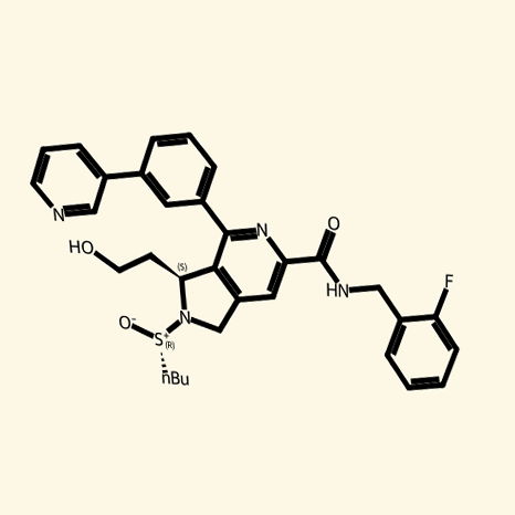 CCCC[S@+]([O-])N1Cc2cc(C(=O)NCc3ccccc3F)nc(-c3cccc(-c4cccnc4)c3)c2[C@@H]1CCO